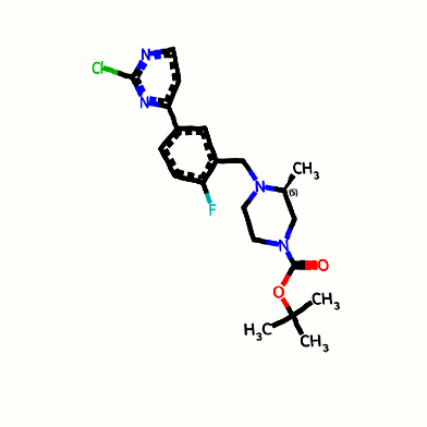 C[C@H]1CN(C(=O)OC(C)(C)C)CCN1Cc1cc(-c2ccnc(Cl)n2)ccc1F